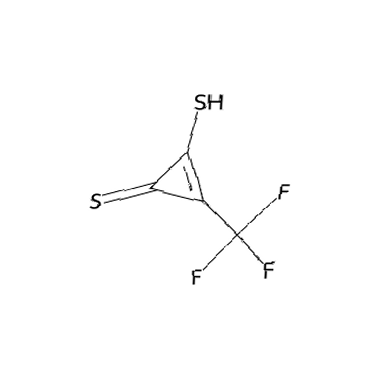 FC(F)(F)c1c(S)c1=S